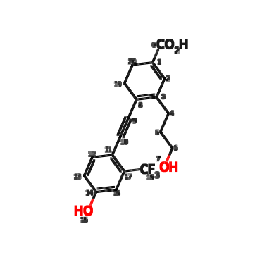 O=C(O)C1=CC(CCCO)=C(C#Cc2ccc(O)cc2C(F)(F)F)CC1